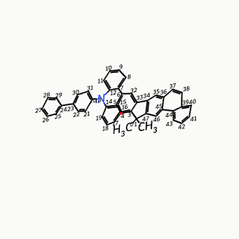 CC1(C)c2ccc(-c3ccccc3N(c3ccccc3)c3ccc(-c4ccccc4)cc3)cc2-c2cc3ccc4ccccc4c3cc21